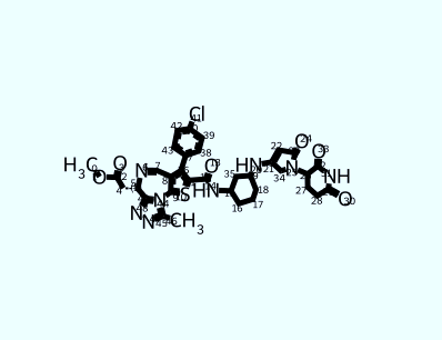 COC(=O)C[C@@H]1N=Cc2c(sc(C(=O)NC3CCCC(NC4=CC(=O)N(C5CCC(=O)NC5=O)C4)C3)c2-c2ccc(Cl)cc2)-n2c(C)nnc21